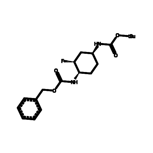 CC(C)(C)OC(=O)N[C@H]1CC[C@H](NC(=O)OCc2ccccc2)[C@H](F)C1